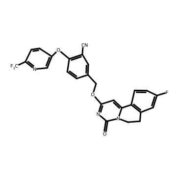 N#Cc1cc(COc2cc3n(c(=O)n2)CCc2cc(F)ccc2-3)ccc1Oc1ccc(C(F)(F)F)nc1